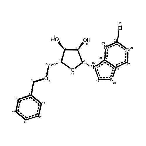 O[C@@H]1[C@H](O)[C@@H](COCc2ccccc2)O[C@H]1n1cnc2cnc(Cl)nc21